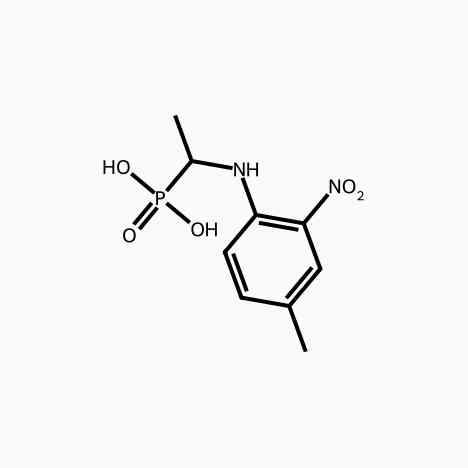 Cc1ccc(NC(C)P(=O)(O)O)c([N+](=O)[O-])c1